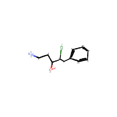 NCCC(O)C(Cl)Cc1ccccc1